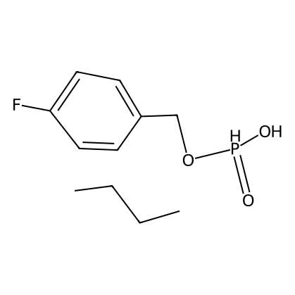 CCCC.O=[PH](O)OCc1ccc(F)cc1